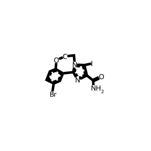 NC(=O)c1nc2n(c1I)CCOc1ccc(Br)cc1-2